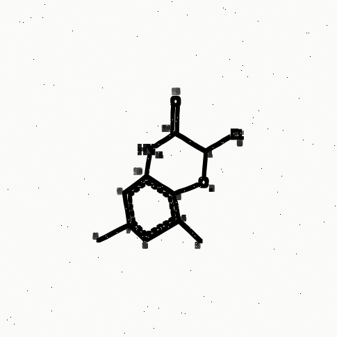 CCC1Oc2c(C)cc(C)cc2NC1=O